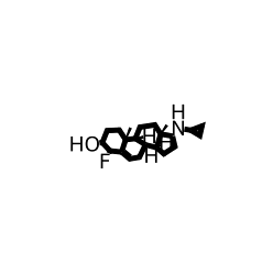 C[C@]12CCC(O)C(F)C1=CC[C@@H]1[C@H]2CC[C@]2(C)C(NC3CC3)CC[C@@H]12